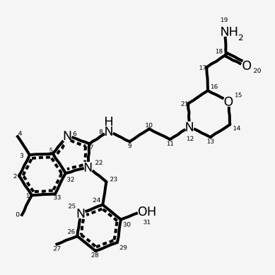 Cc1cc(C)c2nc(NCCCN3CCOC(CC(N)=O)C3)n(Cc3nc(C)ccc3O)c2c1